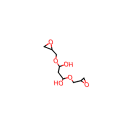 OC(CC(O)OCC1CO1)OCC1CO1